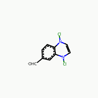 O=[C]c1ccc2c(c1)N(Cl)C=CN2Cl